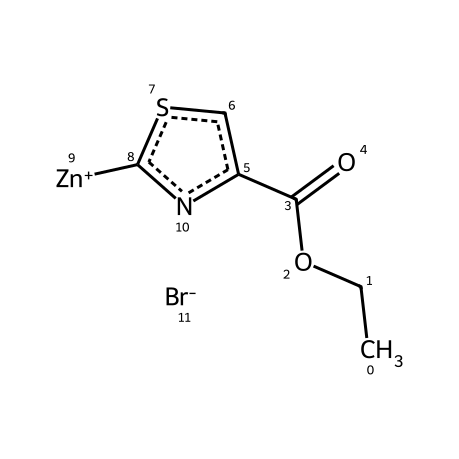 CCOC(=O)c1cs[c]([Zn+])n1.[Br-]